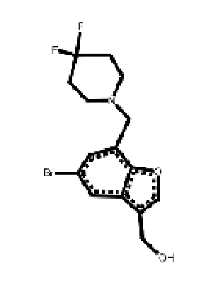 OCc1coc2c(CN3CCC(F)(F)CC3)cc(Br)cc12